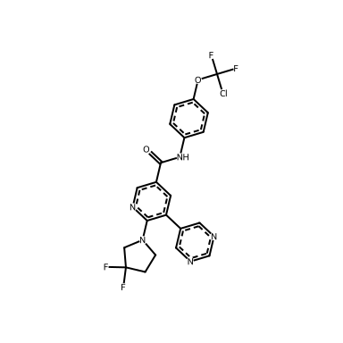 O=C(Nc1ccc(OC(F)(F)Cl)cc1)c1cnc(N2CCC(F)(F)C2)c(-c2cncnc2)c1